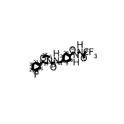 O=C(NNC(=O)C(F)(F)F)c1ccc(CNC(=O)N2CCOC(c3cccc(F)c3)C2)cc1